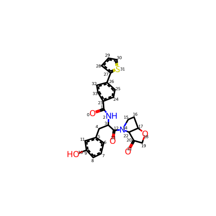 O=C(NC(Cc1cccc(O)c1)C(=O)N1CCC2OCC(=O)C21)c1ccc(-c2cccs2)cc1